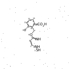 N=C(/C=C\NS)OCc1c(F)cccc1C(=O)O